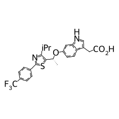 CC(C)c1nc(-c2ccc(C(F)(F)F)cc2)sc1[C@@H](C)Oc1ccc2c(CC(=O)O)c[nH]c2c1